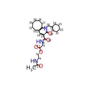 CC(=O)NCCOC(=O)CNC(=O)c1cc2c(n(CC3CCCCC3)c1=O)CCCCCC2